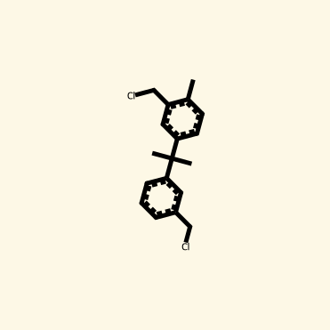 Cc1ccc(C(C)(C)c2cccc(CCl)c2)cc1CCl